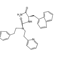 NC(=O)[C@@H](Cc1cccc2ccccc12)NC(=O)N(CCc1ccccc1)CCc1ccccn1